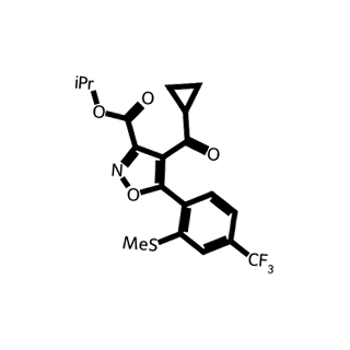 CSc1cc(C(F)(F)F)ccc1-c1onc(C(=O)OC(C)C)c1C(=O)C1CC1